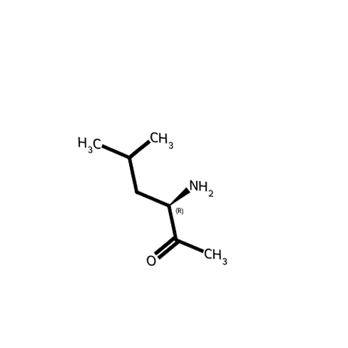 CC(=O)[C@H](N)CC(C)C